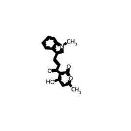 Cc1cc(O)c(C(=O)/C=C/c2cn(C)c3ccccc23)c(=O)o1